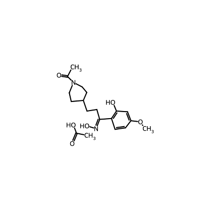 CC(=O)O.COc1ccc(C(CCC2CCN(C(C)=O)CC2)=NO)c(O)c1